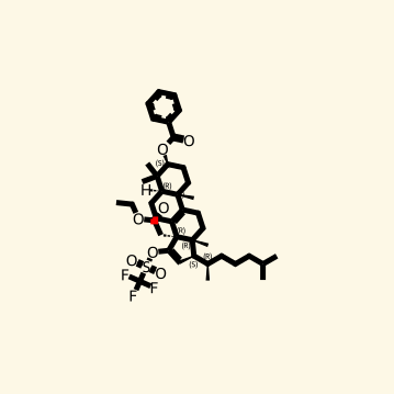 CCOC(=O)C[C@@]12C(OS(=O)(=O)C(F)(F)F)=C[C@H]([C@H](C)CCCC(C)C)[C@@]1(C)CCC1=C2CC[C@H]2C(C)(C)[C@@H](OC(=O)c3ccccc3)CC[C@]12C